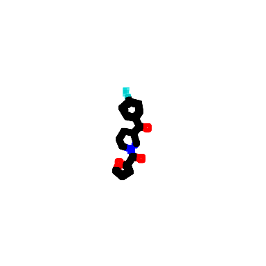 O=C(c1ccc(F)cc1)C1CCCN(C(=O)c2ccco2)C1